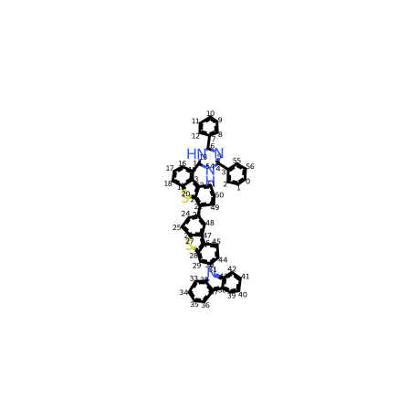 c1ccc(C2=NC(c3ccccc3)NC(c3cccc4sc5c(-c6ccc7sc8cc(-n9c%10ccccc%10c%10ccccc%109)ccc8c7c6)cccc5c34)N2)cc1